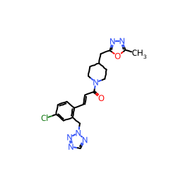 Cc1nnc(CC2CCN(C(=O)C=Cc3ccc(Cl)cc3Cn3ncnn3)CC2)o1